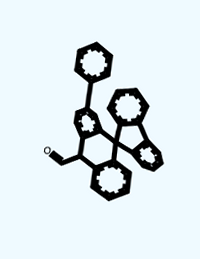 O=CC1c2ccccc2C2(c3ccccc3-c3ccccc32)c2cc(-c3ccccc3)ccc21